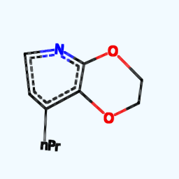 CCCc1ccnc2c1OCCO2